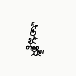 Cc1cc(C)c(CNC(=O)c2csc([C@H](C)C3CCN(CC(F)F)CC3)c2C)c(=O)[nH]1